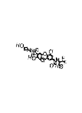 O=c1[nH]c(=O)n(-c2cc(Cl)c(Oc3cc(S(=O)(=O)NCC4CC(O)C4)c(O)cn3)c(Cl)c2)nc1C(F)F